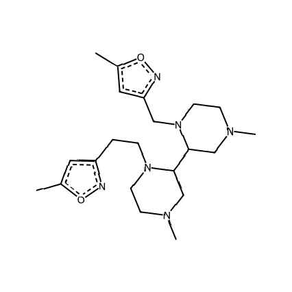 Cc1cc(CCN2CCN(C)CC2C2CN(C)CCN2Cc2cc(C)on2)no1